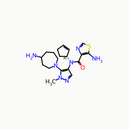 Cn1ncc(N(C(=O)c2ncsc2N)[C@H]2C=CCC2)c1N1CCCC(N)CC1